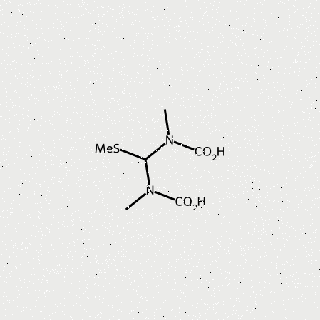 CSC(N(C)C(=O)O)N(C)C(=O)O